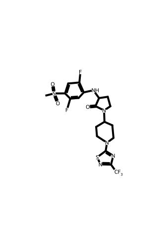 CS(=O)(=O)c1cc(F)c(NC2CCN(C3CCN(c4nc(C(F)(F)F)ns4)CC3)C2=O)cc1F